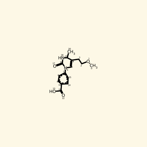 COCCC1=CN(c2ccc(C(=O)O)cc2)C(=O)NC1C